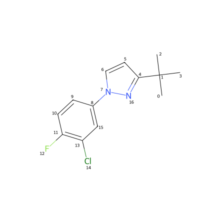 CC(C)(C)c1ccn(-c2ccc(F)c(Cl)c2)n1